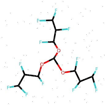 FC(F)C(F)C(F)OC(OC(F)C(F)C(F)F)OC(F)C(F)C(F)F